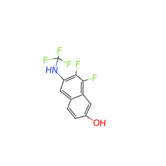 Oc1ccc2cc(NC(F)(F)F)c(F)c(F)c2c1